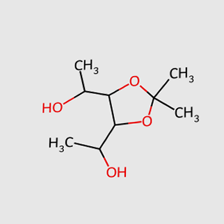 CC(O)C1OC(C)(C)OC1C(C)O